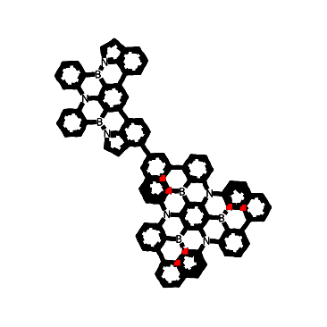 c1ccc(N2c3cccc4c3B(c3c2c2c(c5c3N(c3ccccc3)c3cccc6c3B5n3ccc5cc(-c7ccc8c9c7ccn9B7c9ccccc9N9c%10ccccc%10B%10c%11c(cc-8c7c%119)-c7cccc8ccn%10c78)cc-6c53)N(c3ccccc3)c3cccc5c3B2n2ccc3cccc-5c32)n2ccc3cccc-4c32)cc1